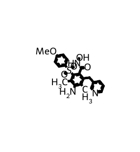 COc1ccc(S(=O)(=O)c2c(C)c(N)c(C)c(Cc3cccnc3)c2C(=O)NO)cc1